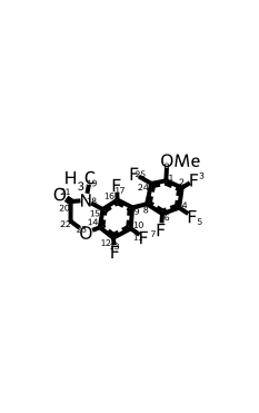 COc1c(F)c(F)c(F)c(-c2c(F)c(F)c3c(c2F)N(C)C(=O)CO3)c1F